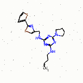 C=CCCNc1nc(NCc2csc(-c3cccs3)n2)nc(N2CCCC2)n1